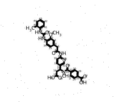 COc1cc(CC(=O)Nc2ccc(C(CC(=O)O)N(C)C(=O)c3ccc(C(=O)O)cc3)cn2)ccc1NC(=O)Nc1ccccc1C